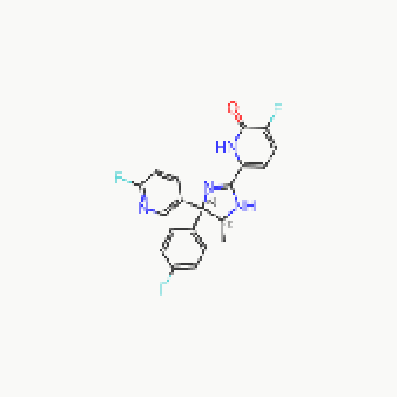 C[C@@H]1NC(c2ccc(F)c(=O)[nH]2)=N[C@@]1(c1ccc(F)cc1)c1ccc(F)nc1